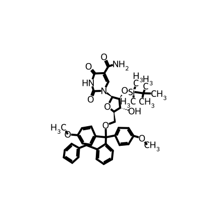 COc1ccc(C(OC[C@H]2O[C@@H](n3cc(C(N)=O)c(=O)[nH]c3=O)[C@H](O[Si](C)(C)C(C)(C)C)[C@@H]2O)(c2ccc(OC)cc2)c2ccccc2Cc2ccccc2)cc1